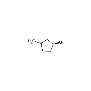 CN1CC[C@H]([O])C1